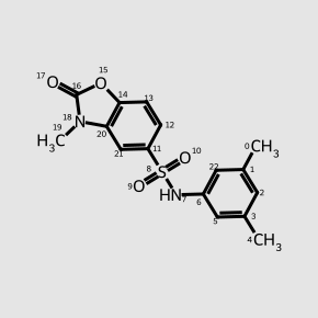 Cc1cc(C)cc(NS(=O)(=O)c2ccc3oc(=O)n(C)c3c2)c1